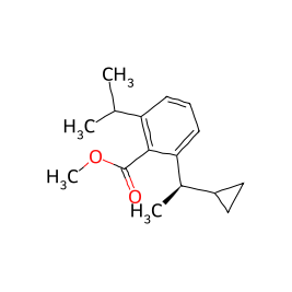 COC(=O)c1c(C(C)C)cccc1[C@H](C)C1CC1